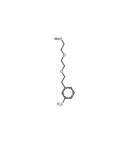 COCCOCCOCCc1cccc(C)c1